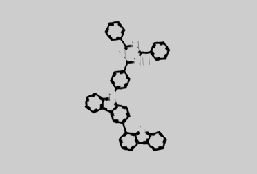 c1ccc(C2=NC(c3ccc(-n4c5ccccc5c5cc(-c6cccc7c6sc6ccccc67)ccc54)cc3)NC(c3ccccc3)=N2)cc1